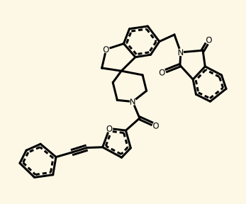 O=C(c1ccc(C#Cc2ccccc2)o1)N1CCC2(CC1)COc1ccc(CN3C(=O)c4ccccc4C3=O)cc12